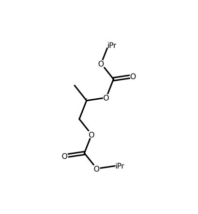 C[C](COC(=O)OC(C)C)OC(=O)OC(C)C